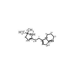 CC1(C)CN=C(SCC2=CSC3=NCCCN23)N1